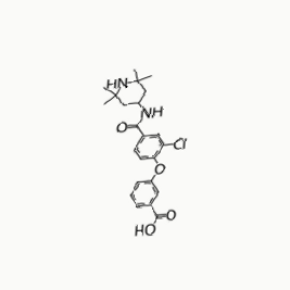 CC1(C)CC(NC(=O)c2ccc(Oc3cccc(C(=O)O)c3)c(Cl)c2)CC(C)(C)N1